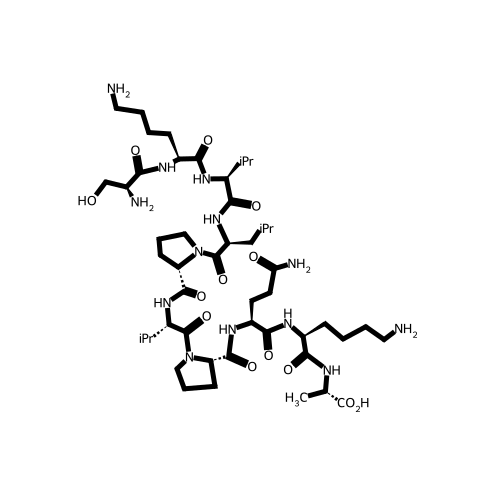 CC(C)C[C@H](NC(=O)[C@@H](NC(=O)[C@H](CCCCN)NC(=O)[C@@H](N)CO)C(C)C)C(=O)N1CCC[C@H]1C(=O)N[C@H](C(=O)N1CCC[C@H]1C(=O)N[C@@H](CCC(N)=O)C(=O)N[C@@H](CCCCN)C(=O)N[C@@H](C)C(=O)O)C(C)C